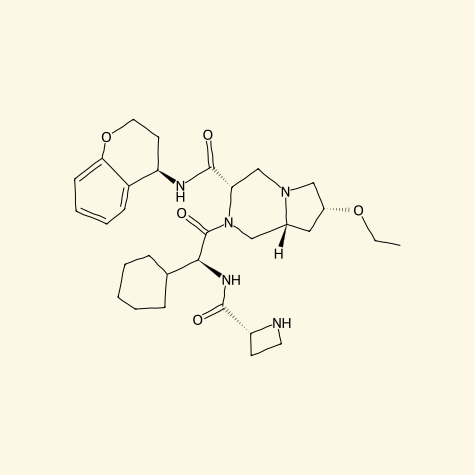 CCO[C@@H]1C[C@@H]2CN(C(=O)[C@@H](NC(=O)[C@H]3CCN3)C3CCCCC3)[C@H](C(=O)N[C@@H]3CCOc4ccccc43)CN2C1